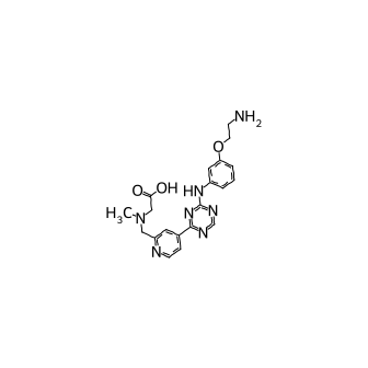 CN(CC(=O)O)Cc1cc(-c2ncnc(Nc3cccc(OCCN)c3)n2)ccn1